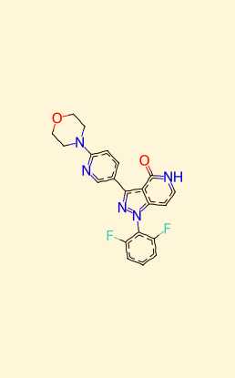 O=c1[nH]ccc2c1c(-c1ccc(N3CCOCC3)nc1)nn2-c1c(F)cccc1F